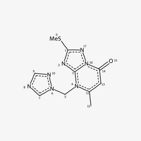 CSc1nc2n(Cn3cncn3)c(C)cc(=O)n2n1